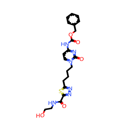 O=C(Nc1ccn(CCCCc2nnc(C(=O)NCCO)s2)c(=O)n1)OCc1ccccc1